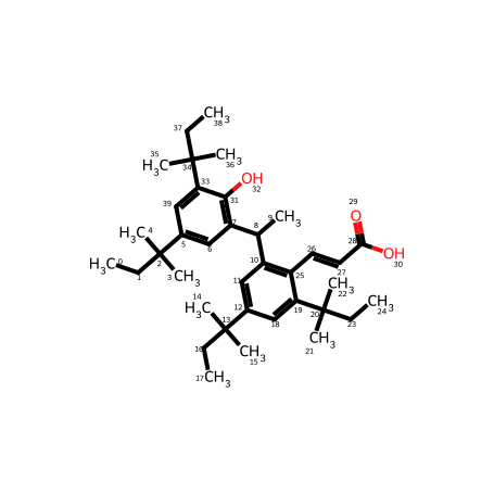 CCC(C)(C)c1cc(C(C)c2cc(C(C)(C)CC)cc(C(C)(C)CC)c2C=CC(=O)O)c(O)c(C(C)(C)CC)c1